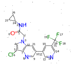 O=C(Cn1cc(Cl)c2ncc(-c3cncc(C(F)(F)F)c3)cc21)NC1CC1